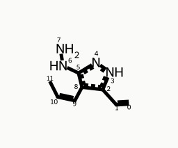 C=Cc1[nH]nc(NN)c1/C=C\C